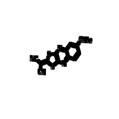 COc1ccc2nc3c(nc2c1)SC(=C(C#N)C#N)S3